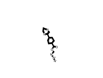 [N-]=[N+]=NCOC(=O)c1ccc(-c2cnccn2)cc1